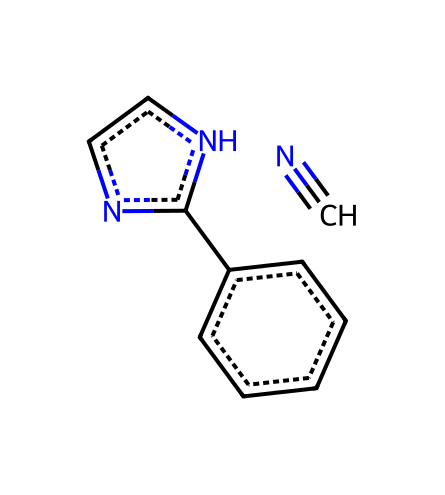 C#N.c1ccc(-c2ncc[nH]2)cc1